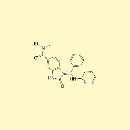 CCN(C)C(=O)c1ccc2c(c1)NC(=O)/C2=C(\Nc1ccccc1)c1ccccc1